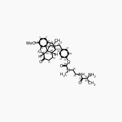 COc1ccc2c3c1O[C@H]1C(=O)CC[C@H]4C(C2)[N@@+](C)(Cc2ccc(OC(=O)N(C)CCNC(=O)[C@H](C)N)cc2)CC[C@]314